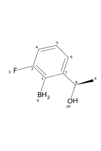 Bc1c(F)cccc1[C@@H](C)O